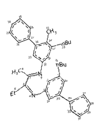 CCCCc1cc(N=C(CC)C(C)=Nc2cc(CCCC)c(C)c(-c3ccccc3)c2)cc(-c2ccccc2)c1